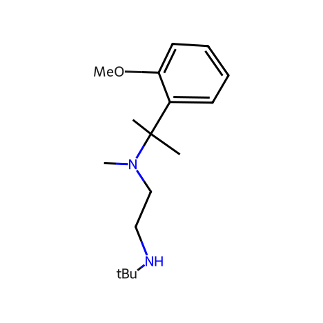 COc1ccccc1C(C)(C)N(C)CCNC(C)(C)C